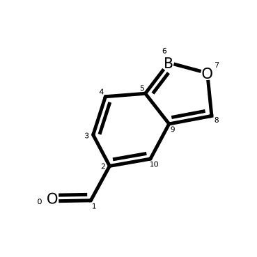 O=Cc1ccc2bocc2c1